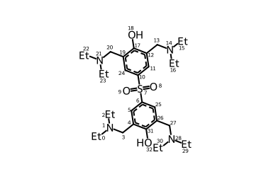 CCN(CC)Cc1cc(S(=O)(=O)c2cc(CN(CC)CC)c(O)c(CN(CC)CC)c2)cc(CN(CC)CC)c1O